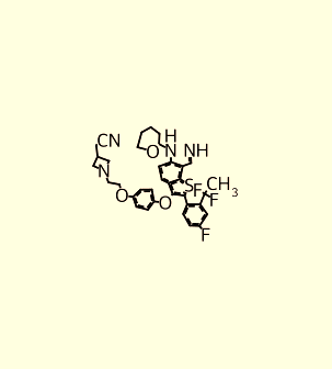 CC(F)(F)c1cc(F)ccc1-c1sc2c(C=N)c(NC3CCCCO3)ccc2c1Oc1ccc(OCCN2CC(CC#N)C2)cc1